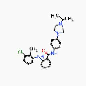 Cc1c(Cl)cccc1Nc1ccccc1C(=O)Nc1ccc(N2CCN(C(C)C)CC2)cc1